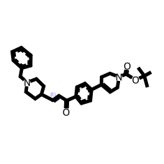 CC(C)(C)OC(=O)N1CC=C(c2ccc(C(=O)/C=C/C3CCN(Cc4ccccc4)CC3)cc2)CC1